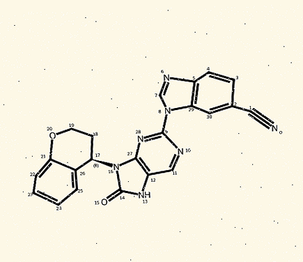 N#Cc1ccc2ncn(-c3ncc4[nH]c(=O)n([C@@H]5CCOc6ccccc65)c4n3)c2c1